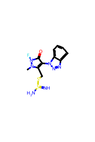 Cn1c(CSS(=N)N)c(-n2nnc3ccccc32)c(=O)n1F